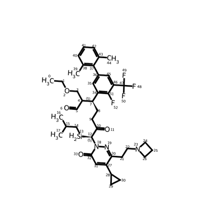 CCOCC(C=O)[C@H](CCC(=O)[C@H]([SiH2]CC(C)C)n1nc(CCN2CCC2)c(C2CC2)cc1=O)c1cc(-c2c(C)cccc2C)cc(C(F)(F)F)c1F